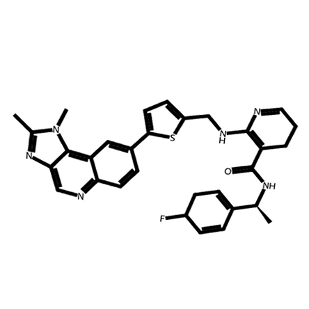 Cc1nc2cnc3ccc(-c4ccc(CNC5=C(C(=O)N[C@@H](C)C6=CCC(F)C=C6)CCC=N5)s4)cc3c2n1C